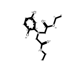 CCOC(=O)CN(CC(=O)OCC)c1cc(Cl)ccc1Cl